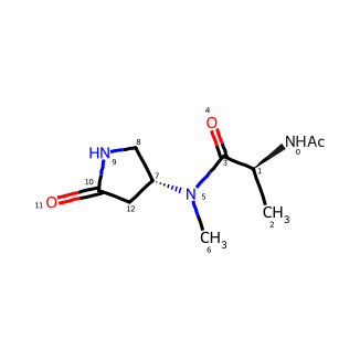 CC(=O)N[C@@H](C)C(=O)N(C)[C@H]1CNC(=O)C1